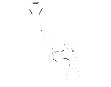 CC1CN(c2nc(Cl)nc3c2cnn3C2CCN(CCc3ccccc3)CC2)CCO1